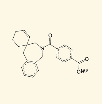 COC(=O)c1ccc(C(=O)N2Cc3ccccc3CC3(C=CCCC3)C2)cc1